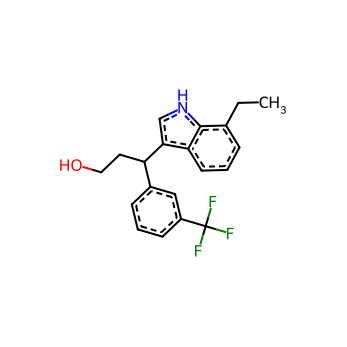 CCc1cccc2c(C(CCO)c3cccc(C(F)(F)F)c3)c[nH]c12